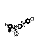 C[C@@H](N1CCc2nc(-c3ccc(Cl)cc3)sc2C1)[C@](O)(Cn1cncn1)c1ccc(F)cc1F